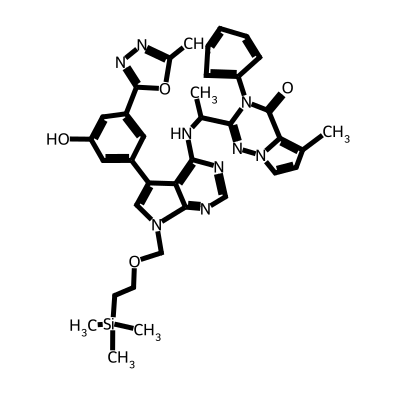 Cc1nnc(-c2cc(O)cc(-c3cn(COCC[Si](C)(C)C)c4ncnc(NC(C)c5nn6ccc(C)c6c(=O)n5-c5ccccc5)c34)c2)o1